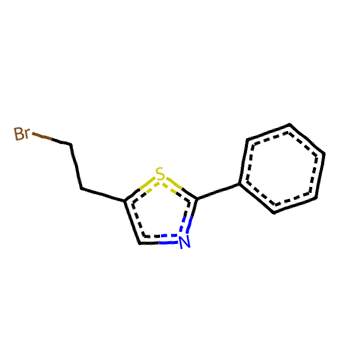 BrCCc1cnc(-c2ccccc2)s1